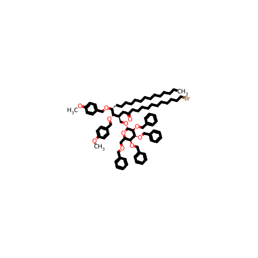 CCCCCCCCCCCCCC[C@@H](OCc1ccc(OC)cc1)[C@@H](OCc1ccc(OC)cc1)[C@H](CO[C@H]1OC(COCc2ccccc2)[C@H](OCc2ccccc2)[C@@H](OCc2ccccc2)[C@@H]1OCc1ccccc1)CC(=O)CCCCCCCCCCCBr